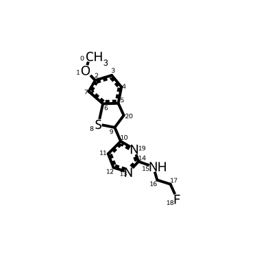 COc1ccc2c(c1)SC(c1ccnc(NCCF)n1)C2